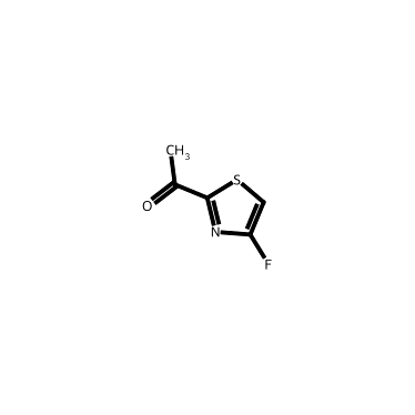 CC(=O)c1nc(F)cs1